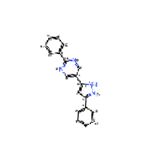 c1ccc(-c2cc(-c3cnc(-c4ccccc4)nc3)[nH]n2)cc1